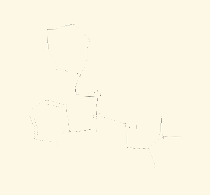 CC(CNc1nc(N2CCCCCC2)c2ccccc2n1)N(C)C